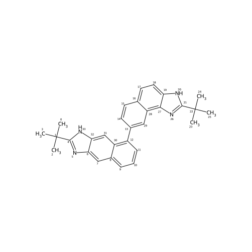 CC(C)(C)c1nc2cc3cccc(-c4ccc5ccc6[nH]c(C(C)(C)C)nc6c5c4)c3cc2[nH]1